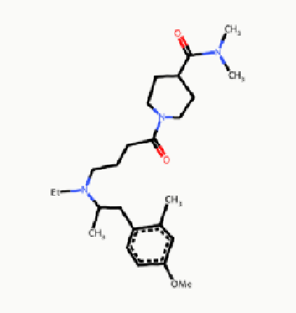 CCN(CCCC(=O)N1CCC(C(=O)N(C)C)CC1)C(C)Cc1ccc(OC)cc1C